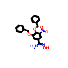 N/C(=N\O)c1cc(OCc2ccccc2)c(OCc2ccccc2)c([N+](=O)[O-])c1